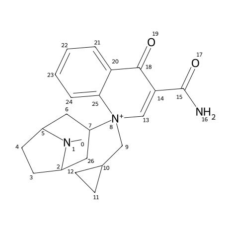 CN1C2CCC1CC([N+]1(CC3CC3)C=C(C(N)=O)C(=O)c3ccccc31)C2